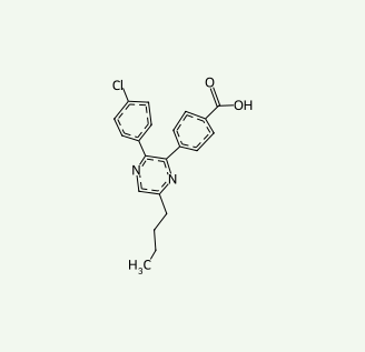 CCCCc1cnc(-c2ccc(Cl)cc2)c(-c2ccc(C(=O)O)cc2)n1